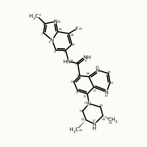 Cc1cn2cc(NC(=N)c3ccc(N4C[C@@H](C)N[C@@H](C)C4)c4nccnc34)cc(F)c2n1